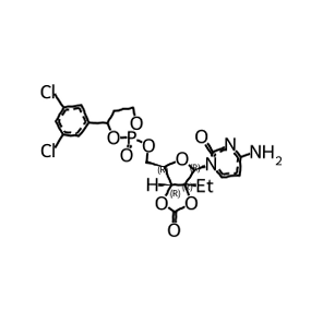 CC[C@@]12OC(=O)O[C@@H]1[C@@H](COP1(=O)OCCC(c3cc(Cl)cc(Cl)c3)O1)O[C@H]2n1ccc(N)nc1=O